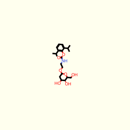 CC(C)c1cccc(C(C)C)c1OC(=O)NCCOC1CC(O)[C@H](O)C(CO)O1